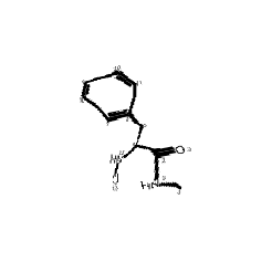 CNC(=O)[C@H](Cc1ccccc1)NCl